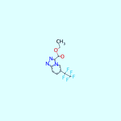 CCOC(=O)c1nnc2ccc(C(F)(F)C(F)(F)F)cn12